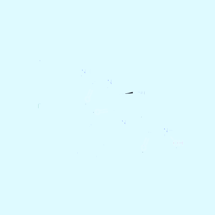 CC(C)(C)[C@H](NC(=O)Nc1cccc(F)c1)C(=O)N(CC(=O)NO)CC1CCCC1